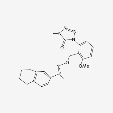 COc1cccc(-n2nnn(C)c2=O)c1CON=C(C)c1ccc2c(c1)CCCC2